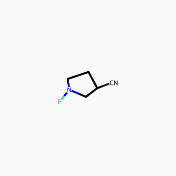 N#CC1CCN(F)C1